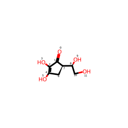 O=C1C(O)=C(O)C[C@@H]1[C@@H](O)CO